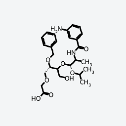 CC(C)O[C@H](OC(CO)[C@H](COCC(=O)O)OCc1ccccc1)C(C)NC(=O)c1cccc(N)c1